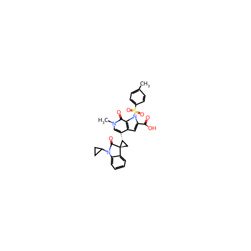 Cc1ccc(S(=O)(=O)n2c(C(=O)O)cc3c([C@@H]4C[C@@]45C(=O)N(C4CC4)c4ccccc45)cn(C)c(=O)c32)cc1